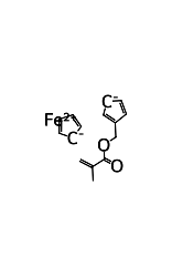 C=C(C)C(=O)OCc1cc[cH-]c1.[Fe+2].c1cc[cH-]c1